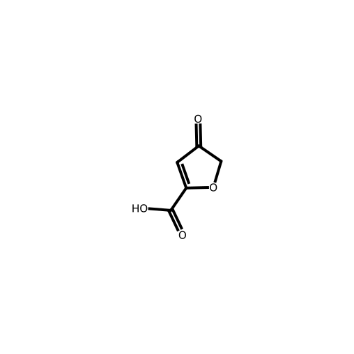 O=C1C=C(C(=O)O)OC1